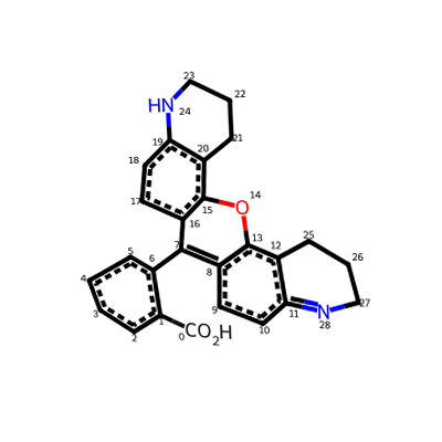 O=C(O)c1ccccc1C1=c2ccc3c(c2Oc2c1ccc1c2CCCN1)CCCN=3